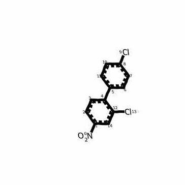 O=[N+]([O-])c1ccc(-c2ccc(Cl)cc2)c(Cl)c1